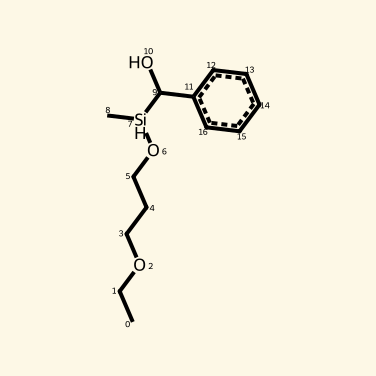 CCOCCCO[SiH](C)C(O)c1ccccc1